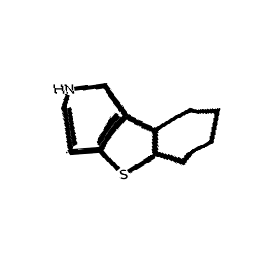 [C]1=CNCC2=C1SC1CCCCC21